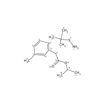 CC(C)(C)SN.Cc1cccc(CC(=O)OC(C)C)c1